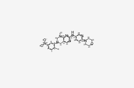 Cc1ccc([N+](=O)[O-])cc1N1Cc2cnc(Nc3ccc(N4CCOCC4)nc3)nc2N(C)C1